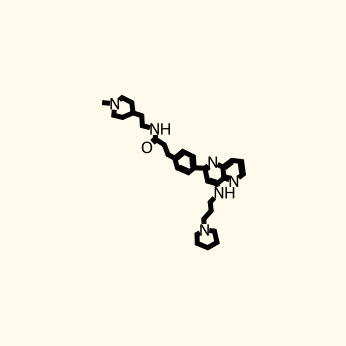 CN1CCC(CCNC(=O)CCc2ccc(-c3cc(NCCCN4CCCCC4)c4ncccc4n3)cc2)CC1